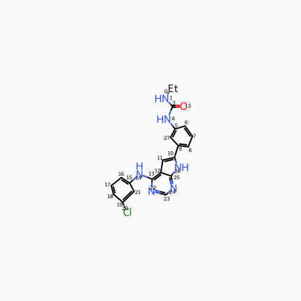 CCNC(=O)Nc1cccc(-c2cc3c(Nc4cccc(Cl)c4)ncnc3[nH]2)c1